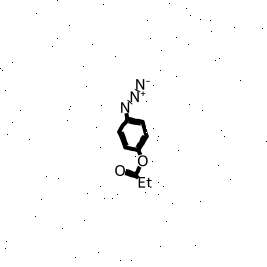 CCC(=O)Oc1ccc(N=[N+]=[N-])cc1